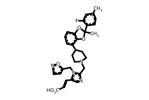 Cc1ccc(C2(C)Oc3cccc(C4CCN(Cc5ncc(/C=C/C(=O)O)n5Cc5ccno5)CC4)c3O2)c(F)c1